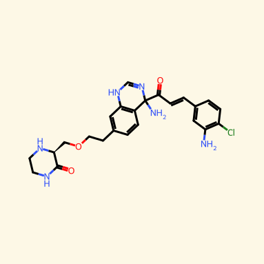 Nc1cc(C=CC(=O)C2(N)N=CNc3cc(CCOC[C@@H]4NCCNC4=O)ccc32)ccc1Cl